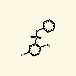 Nc1ncc(Br)cc1S(=O)(=O)Nc1ccccc1